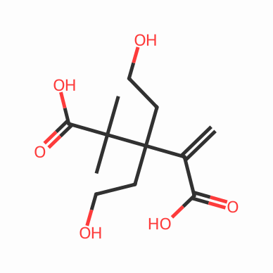 C=C(C(=O)O)C(CCO)(CCO)C(C)(C)C(=O)O